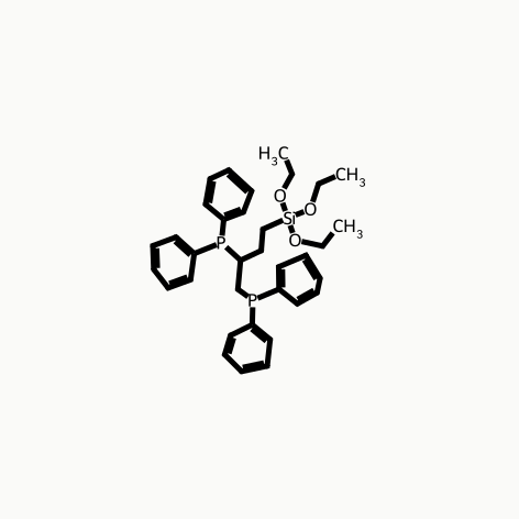 CCO[Si](CCC(CP(c1ccccc1)c1ccccc1)P(c1ccccc1)c1ccccc1)(OCC)OCC